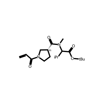 C=CC(=O)N1CC[C@@H](C(=O)N(C)C(C(=O)OC(C)(C)C)C(C)C)C1